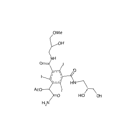 COCC(O)CNC(=O)c1c(I)c(C(=O)NCC(O)CO)c(I)c(C(OC(C)=O)C(N)=O)c1I